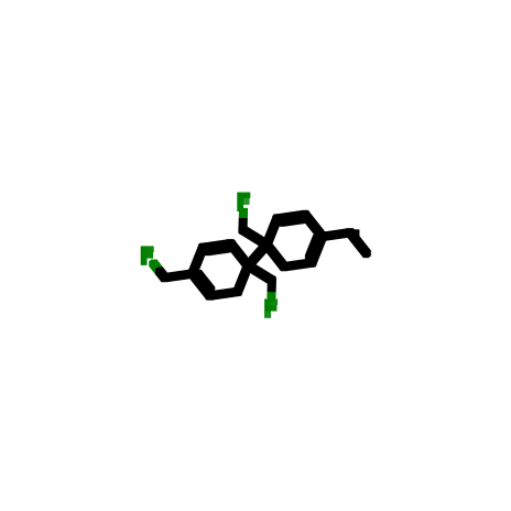 C[CH]C1=CCC(CF)(C2(CF)C=CC(CF)=CC2)C=C1